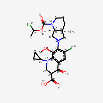 COc1c(N2C[C@@H]3CCCN(C(=O)OC(C)Cl)[C@@H]3C2)c(F)cc2c1N(C1CC1)CC(C(=O)O)C2=O